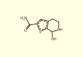 NC(=O)c1cc2c(s1)C(O)NCC2